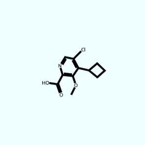 COc1c(C(=O)O)ncc(Cl)c1C1CCC1